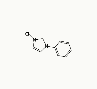 ClN1C=CN(c2ccccc2)C1